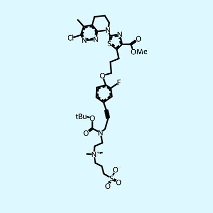 COC(=O)c1nc(N2CCCc3c2nnc(Cl)c3C)sc1CCCOc1ccc(C#CCN(CC[N+](C)(C)CCCS(=O)(=O)[O-])C(=O)OC(C)(C)C)cc1F